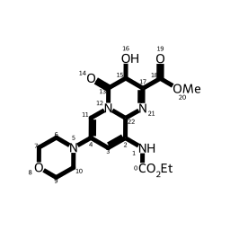 CCOC(=O)NC1=CC(N2CCOCC2)=CN2C(=O)C(O)C(C(=O)OC)=NC12